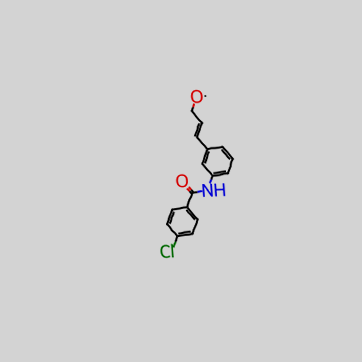 [O]CC=Cc1cccc(NC(=O)c2ccc(Cl)cc2)c1